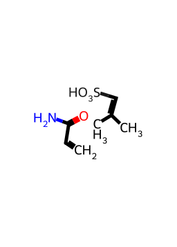 C=CC(N)=O.CC(C)=CS(=O)(=O)O